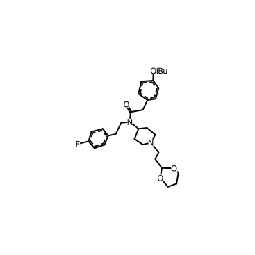 CC(C)COc1ccc(CC(=O)N(CCc2ccc(F)cc2)C2CCN(CCC3OCCCO3)CC2)cc1